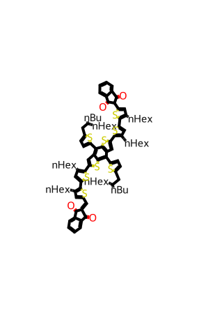 CCCCCCc1cc(C=C2C(=O)c3ccccc3C2=O)sc1-c1cc(CCCCCC)c(-c2cc3c(-c4ccc(CC(CCCC)CCCCCC)s4)c4sc(-c5sc(-c6sc(C7C(=O)c8ccccc8C7=O)cc6CCCCCC)cc5CCCCCC)cc4c(-c4ccc(CC(CCCC)CCCCCC)s4)c3s2)s1